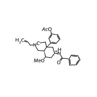 C=CCN1CCC2(c3cccc(OC(C)=O)c3)C[C@@H](NC(=O)c3ccccc3)CC(OC)C2C1